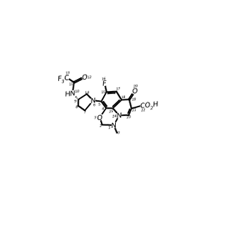 CN1COc2c(N3CC[C@H](NC(=O)C(F)(F)F)C3)c(F)cc3c(=O)c(C(=O)O)cn1c23